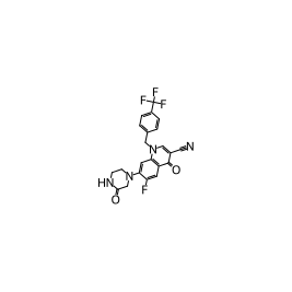 N#Cc1cn(Cc2ccc(C(F)(F)F)cc2)c2cc(N3CCNC(=O)C3)c(F)cc2c1=O